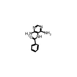 Nc1ncnc(N)c1NC(=O)c1ccccc1